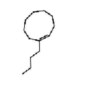 CCCCC1=CCCCCCCC1